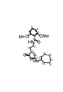 COc1cccc(OC)c1C(=O)NCCC1SC(NC2CCCCCC2)=NC1=O